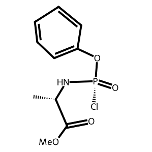 COC(=O)[C@H](C)N[P@@](=O)(Cl)Oc1ccccc1